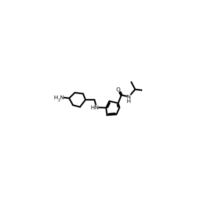 CC(C)NC(=O)c1cccc(NCC2CCC(N)CC2)c1